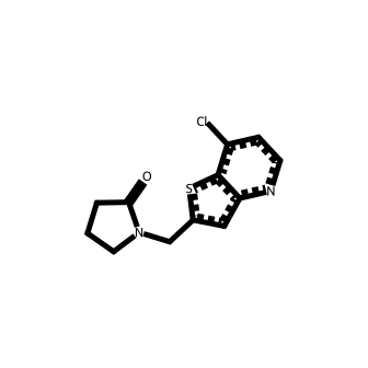 O=C1CCCN1Cc1cc2nccc(Cl)c2s1